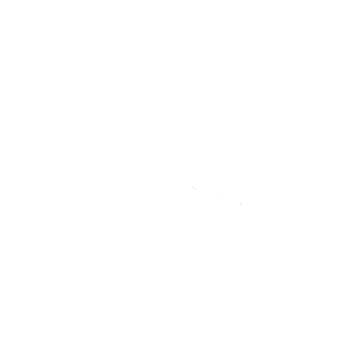 CC1(C)SC2C(NC(=O)Cc3ccsc3)C(=O)N2C1c1nnn[nH]1